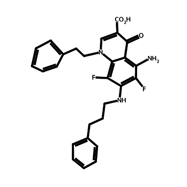 Nc1c(F)c(NCCCc2ccccc2)c(F)c2c1c(=O)c(C(=O)O)cn2CCc1ccccc1